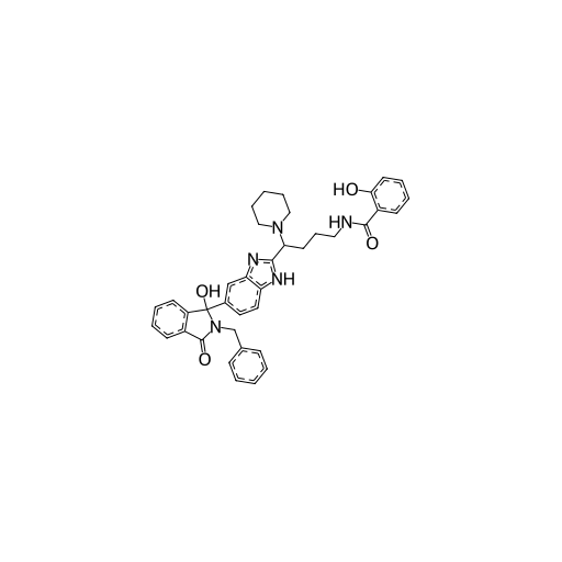 O=C(NCCCC(c1nc2cc(C3(O)c4ccccc4C(=O)N3Cc3ccccc3)ccc2[nH]1)N1CCCCC1)c1ccccc1O